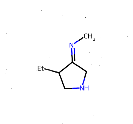 CCC1CNC/C1=N\C